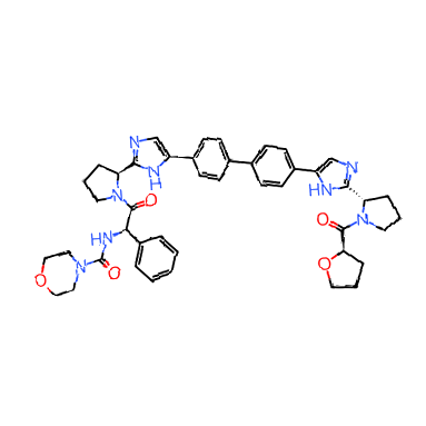 O=C(N[C@@H](C(=O)N1CCC[C@H]1c1ncc(-c2ccc(-c3ccc(-c4cnc([C@@H]5CCCN5C(=O)[C@H]5CCCO5)[nH]4)cc3)cc2)[nH]1)c1ccccc1)N1CCOCC1